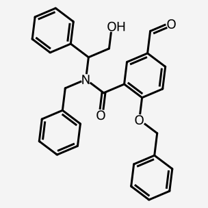 O=Cc1ccc(OCc2ccccc2)c(C(=O)N(Cc2ccccc2)C(CO)c2ccccc2)c1